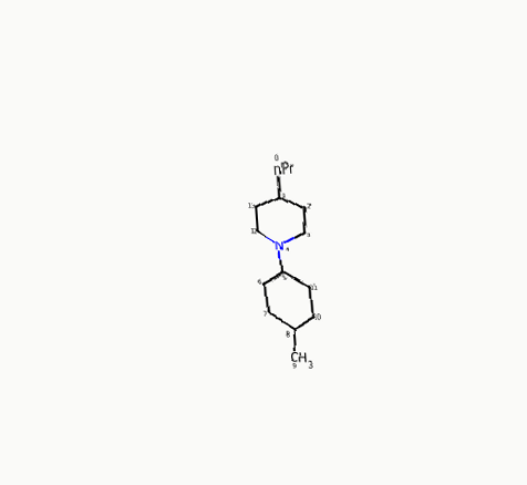 CCCC1CCN(C2CCC(C)CC2)CC1